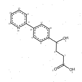 O=C(O)CCC(O)c1ccc(-c2ccccn2)cc1